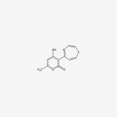 Cc1cc(O)c(C2=NC=CSC=C2)c(=O)o1